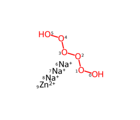 OOOOOO.[Na+].[Na+].[Na+].[Zn+2]